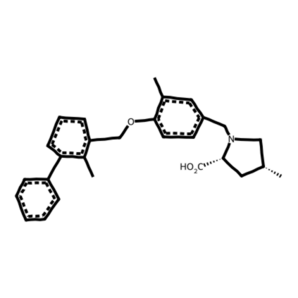 Cc1cc(CN2C[C@H](C)C[C@@H]2C(=O)O)ccc1OCc1cccc(-c2ccccc2)c1C